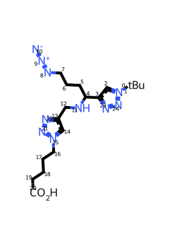 CC(C)(C)n1cc(C(CCCN=[N+]=[N-])NCc2cn(CCCCC(=O)O)nn2)nn1